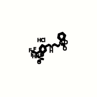 CS(=O)(=O)N[C@@H](c1ccc(CNCCn2c(=O)oc3ccccc32)cc1)C(F)(F)F.Cl